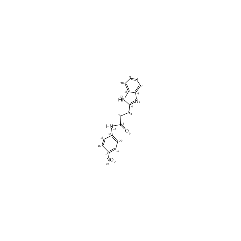 O=C(CSc1nc2ccccc2[nH]1)Nc1ccc([N+](=O)[O-])cc1